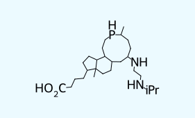 CC(C)NCCNC1CCC(C)PCCC2C(CCC3(C)C(CCCC(=O)O)CCC23)C1